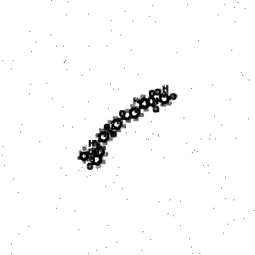 C[C@@]1(O)CCC[C@H]1n1c(=O)ccc2cnc(NC3CCN(S(=O)(=O)C4CCN(C(=O)CC5CCN(c6cc7c(cc6F)C(=O)N(C6CCC(=O)NC6=O)C7=O)CC5)CC4)CC3)nc21